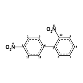 O=[N+]([O-])c1ccc(-c2ccccc2[N+](=O)[O-])cc1